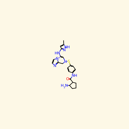 Cc1cc(NC2=CN(Sc3ccc(NC(=O)C4CCCC4N)cc3)CC3=NC=C[N+]23)n[nH]1